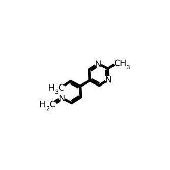 C=N/C=C\C(=C/C)c1cnc(C)nc1